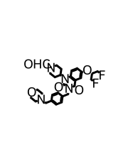 O=CN1CCC(n2c(=O)n(Cc3ccc(CN4CCOCC4)cc3)c(=O)c3cc(OC(CF)CF)ccc32)CC1